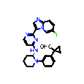 O=CC1(c2cccc(N3CCCC[C@@H]3Nc3ccnc(-c4cnc5ccc(F)cn45)n3)c2)CC1